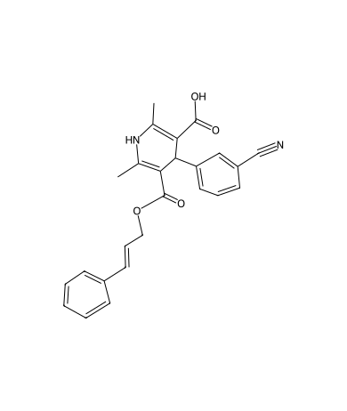 CC1=C(C(=O)O)C(c2cccc(C#N)c2)C(C(=O)OCC=Cc2ccccc2)=C(C)N1